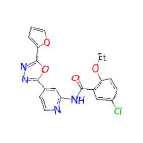 CCOc1ccc(Cl)cc1C(=O)Nc1cc(-c2nnc(-c3ccco3)o2)ccn1